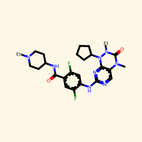 CCN1CCC(NC(=O)c2cc(F)c(Nc3ncc4c(n3)N(C3CCCC3)N(CC)C(=O)N4C)cc2F)CC1